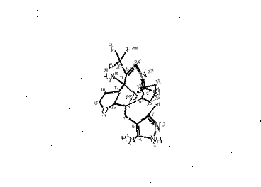 Cc1n[nH]c(N)c1CC(C1CCC1)C1OCCC1C1(N)NC(Cl)=NC=C1C(F)(F)F